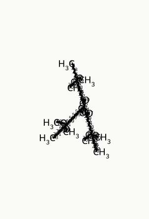 CCCCCCCC(OC)C(CCCCCCCCC(=O)OCC(COC(=O)CCCCCCCCC(OCCC)C(CCCCCCC)OC)OC(=O)CCCCCCCCC(OCCC)C(CCCCCCC)OC)OCCC